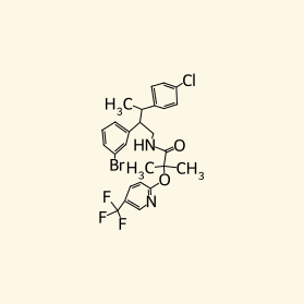 CC(c1ccc(Cl)cc1)C(CNC(=O)C(C)(C)Oc1ccc(C(F)(F)F)cn1)c1cccc(Br)c1